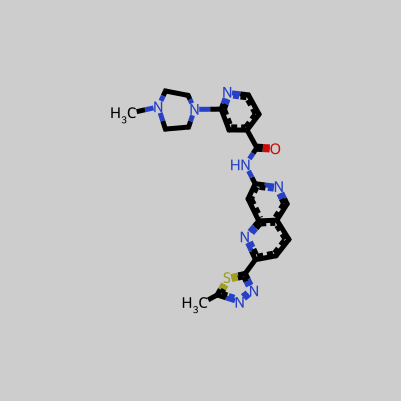 Cc1nnc(-c2ccc3cnc(NC(=O)c4ccnc(N5CCN(C)CC5)c4)cc3n2)s1